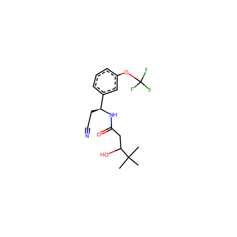 CC(C)(C)C(O)CC(=O)N[C@@H](CC#N)c1cccc(OC(F)(F)F)c1